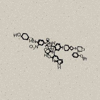 CC(C)Oc1ccccc1[C@H]1COCCN1C1CC2(CCN(c3ccc(C(=O)NS(=O)(=O)c4ccc(NC[C@H]5CC[C@](C)(O)CC5)c([N+](=O)[O-])c4)c(N4c5cc6cc[nH]c6nc5O[C@@H]5COC[C@H]54)c3)CC2)C1